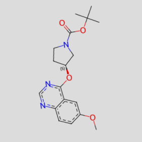 COc1ccc2ncnc(O[C@H]3CCN(C(=O)OC(C)(C)C)C3)c2c1